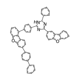 c1ccc(-c2ccc(-c3ccc4c(c3)oc3cccc(-c5ccc(C6=NC(c7ccc8oc9ccccc9c8c7)=NC(c7ccccc7)N6)cc5)c34)cc2)cc1